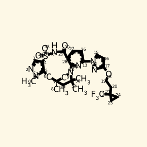 Cn1ncc2c1C[C@@]1(C)CN(c3nc(-n4ccc(OCCC5(C(F)(F)F)CC5)n4)ccc3C(=O)NS2(=O)=O)C(C)(C)C1